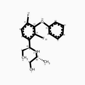 CC[C@H](N[C@H](C)CO)c1ccc(F)c(Oc2ccccc2)c1F